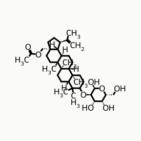 C=C(C)[C@@H]1CC[C@]2(COC(C)=O)CC[C@]3(C)[C@H](CC[C@@H]4[C@@]5(C)CCC(O[C@@H]6[C@@H](O)[C@@H](O)[C@@H](CO)O[C@@H]6O)C(C)(C)[C@@H]5CC[C@]43C)[C@@H]12